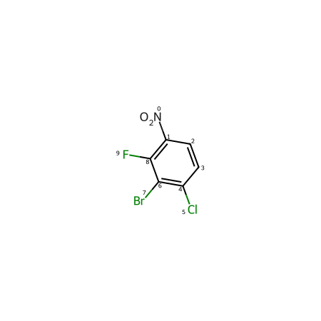 O=[N+]([O-])c1ccc(Cl)c(Br)c1F